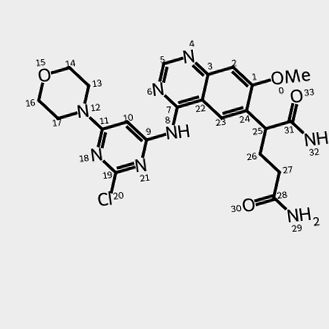 COc1cc2ncnc(Nc3cc(N4CCOCC4)nc(Cl)n3)c2cc1C(CCC(N)=O)C(N)=O